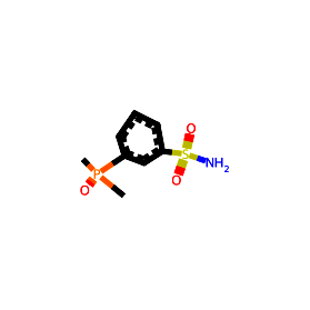 CP(C)(=O)c1cccc(S(N)(=O)=O)c1